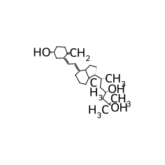 C=C1CC[C@H](O)C/C1=C/C=C1CCC[C@@]2(C)C1CC[C@@H]2[C@H](C)C[C@H](O)CC(C)(C)O